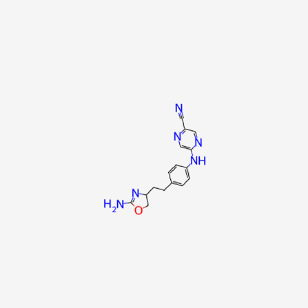 N#Cc1cnc(Nc2ccc(CCC3COC(N)=N3)cc2)cn1